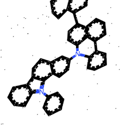 c1ccc(-c2ccccc2N(c2ccc(-c3cccc4ccccc34)cc2)c2ccc3c(ccc4c5ccccc5n(-c5ccccc5)c34)c2)cc1